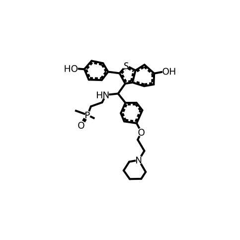 CP(C)(=O)CCNC(c1ccc(OCCN2CCCCC2)cc1)c1c(-c2ccc(O)cc2)sc2cc(O)ccc12